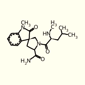 CN[C@@H](CC(C)C)C(=O)N1C[C@]2(CC1C(N)=O)C(=O)N(C)c1ccccc12